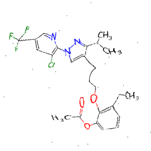 CCc1cccc(OC(C)=O)c1OCCCc1cn(-c2ncc(C(F)(F)F)cc2Cl)nc1C(C)C